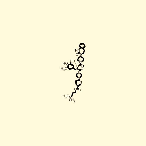 Cc1cc(C[C@@H](OC(=O)N2CCC(N3CCc4ccccc4NC3=O)CC2)C(=O)N2CCN(c3ccc(C(=O)OCCCN(C)C)cn3)CC2)cc(C)c1O